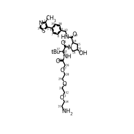 Cc1ncsc1-c1ccc(CNC(=O)C2CC(O)CN2C(=O)[C@@H](NC(=O)COCCOCCOCCN)C(C)(C)C)cc1